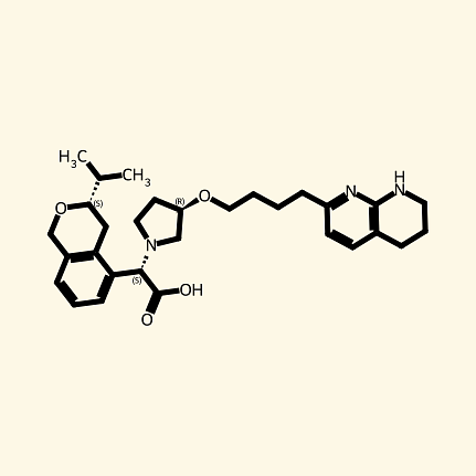 CC(C)[C@@H]1Cc2c(cccc2[C@@H](C(=O)O)N2CC[C@@H](OCCCCc3ccc4c(n3)NCCC4)C2)CO1